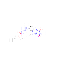 Cc1cc2nc3c(=O)[nH]c(=O)nc-3n(CCCCCCC(=O)O)c2cc1NC1CCN(C(=O)OC(C)(C)C)C1